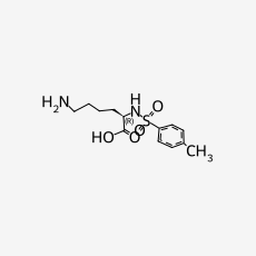 Cc1ccc(S(=O)(=O)N[C@H](CCCCN)C(=O)O)cc1